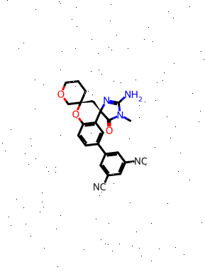 [C-]#[N+]c1cc(C#N)cc(-c2ccc3c(c2)[C@]2(C[C@@]4(CCCOC4)O3)N=C(N)N(C)C2=O)c1